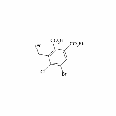 CCOC(=O)c1cc(Br)c(Cl)c(CC(C)C)c1C(=O)O